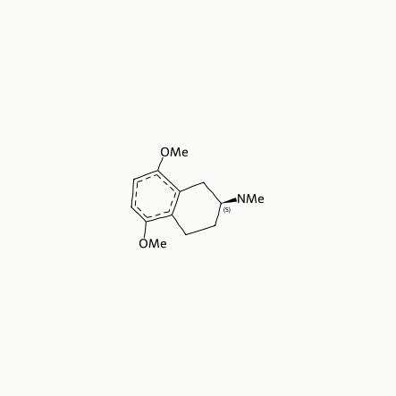 CN[C@H]1CCc2c(OC)ccc(OC)c2C1